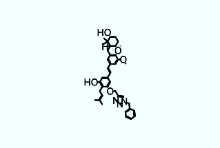 COc1cc(/C=C/c2cc(O)c(CC=C(C)C)c(OCc3cn(Cc4ccccc4)nn3)c2)cc2c1O[C@]1(C)CC[C@@H](O)C(C)(C)[C@H]1C2